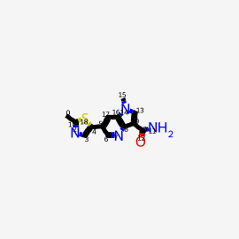 Cc1ncc(-c2cnc3c(C(N)=O)cn(C)c3c2)s1